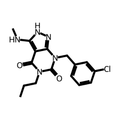 CCCn1c(=O)c2c(NC)[nH]nc2n(Cc2cccc(Cl)c2)c1=O